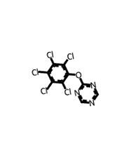 Clc1c(Cl)c(Cl)c(Oc2ncncn2)c(Cl)c1Cl